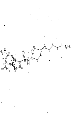 CCCCCO[C@H]1CC[C@H](NC(=O)c2cnn3c(C)cc(C)cc23)CC1